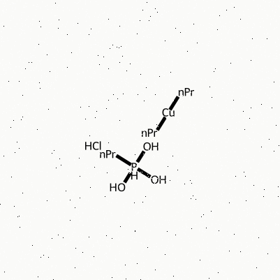 CCC[PH](O)(O)O.CC[CH2][Cu][CH2]CC.Cl